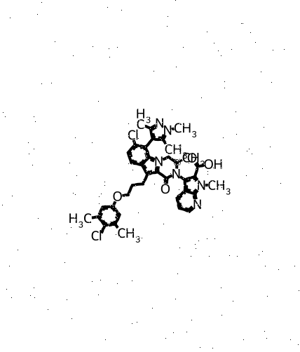 Cc1cc(OCCCc2c3n(c4c(-c5c(C)nn(C)c5C)c(Cl)ccc24)C[C@@H](C)N(c2c(C(=O)O)n(C)c4ncccc24)C3=O)cc(C)c1Cl